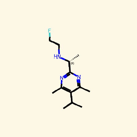 Cc1nc([C@@H](C)NCCF)nc(C)c1C(C)C